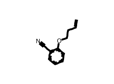 C=CCCOc1ccccc1C#N